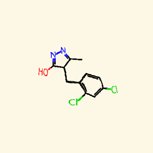 CC1=NN=C(O)C1Cc1ccc(Cl)cc1Cl